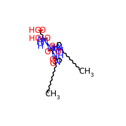 CCCCCCCCCCCCCC(=O)N1CCCC1C(=O)NCC(NC(=O)C1CCCN1C(=O)CCCCCCCCCCCCC)C(=O)NCCNC(=O)C(CCC(=O)O)NO